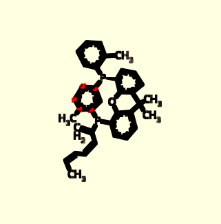 C=C(/C=C\C=C/C)P(c1ccccc1C)c1cccc2c1Oc1c([P@@](c3ccccc3)c3ccccc3C)cccc1C2(C)C